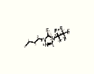 CCCCN1N=CN(C(F)(F)C(F)(F)F)C1F